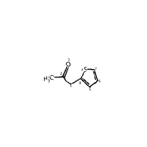 CC(=O)Cc1cccs1